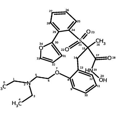 CCN(CC)CCOc1ccccc1CC(C)(C(=O)NO)S(=O)(=O)c1ccccc1-c1ccco1